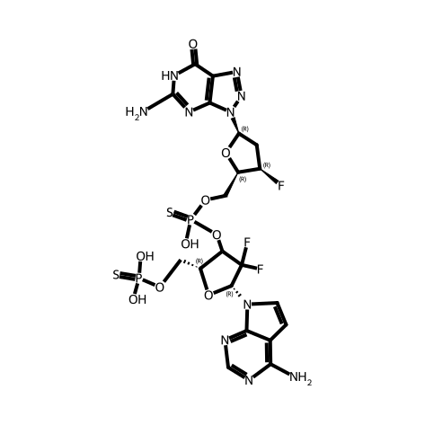 Nc1nc2c(nnn2[C@H]2C[C@@H](F)[C@@H](COP(O)(=S)OC3[C@@H](COP(O)(O)=S)O[C@@H](n4ccc5c(N)ncnc54)C3(F)F)O2)c(=O)[nH]1